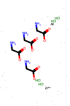 Cl.Cl.Cl.Cl.NCC(=O)[O-].NCC(=O)[O-].NCC(=O)[O-].NCC(=O)[O-].[Al].[Zr+4]